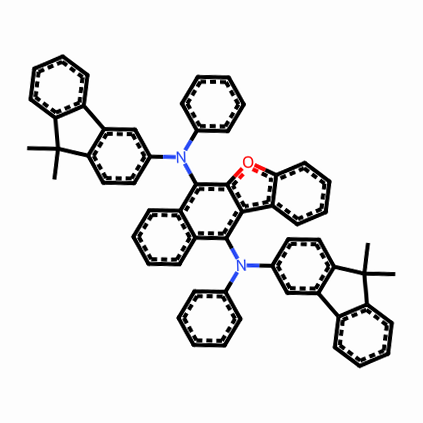 CC1(C)c2ccccc2-c2cc(N(c3ccccc3)c3c4ccccc4c(N(c4ccccc4)c4ccc5c(c4)-c4ccccc4C5(C)C)c4c3oc3ccccc34)ccc21